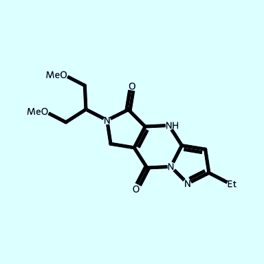 CCc1cc2[nH]c3c(c(=O)n2n1)CN(C(COC)COC)C3=O